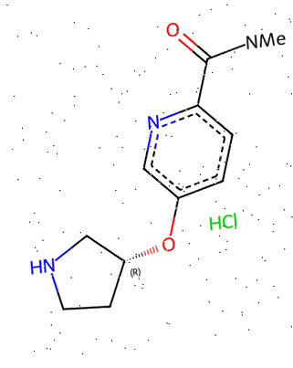 CNC(=O)c1ccc(O[C@@H]2CCNC2)cn1.Cl